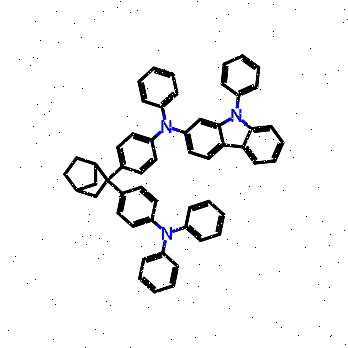 c1ccc(N(c2ccccc2)c2ccc(C3(c4ccc(N(c5ccccc5)c5ccc6c7ccccc7n(-c7ccccc7)c6c5)cc4)CC4CCC3C4)cc2)cc1